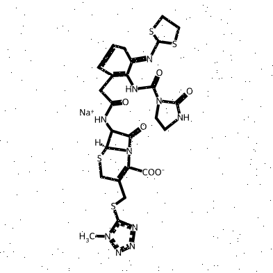 Cn1nnnc1SCC1=C(C(=O)[O-])N2C(=O)C(NC(=O)CC3=C(NC(=O)N4CCNC4=O)C(=NC4SCCS4)CC=C3)[C@@H]2SC1.[Na+]